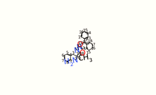 C[C@@](N)(Cc1ccccc1)c1nnc([C@H]2CCCC[C@@H]2C(=O)c2ccccc2)o1